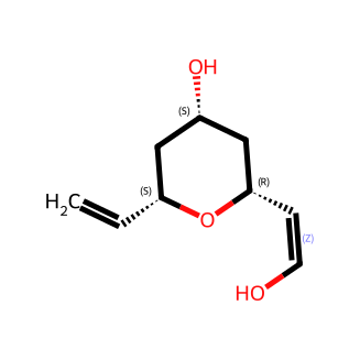 C=C[C@@H]1C[C@H](O)C[C@H](/C=C\O)O1